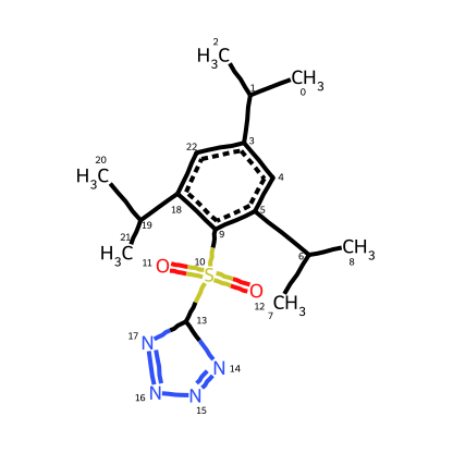 CC(C)c1cc(C(C)C)c(S(=O)(=O)C2N=NN=N2)c(C(C)C)c1